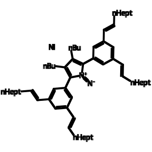 CCCCCCCC=Cc1cc(C=CCCCCCCC)cc(C2=C(CCCC)C(CCCC)=C(c3cc(C=CCCCCCCC)cc(C=CCCCCCCC)c3)[N+]2=[N-])c1.[Ni]